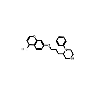 O=CC1C=COc2cc(OCCCC3CNCCN3c3ccccc3)ccc21